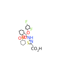 O=C(O)Cc1csc(NC(=O)C(Oc2ccc(F)cc2F)c2ccccc2S(=O)(=O)C2CCCCC2)n1